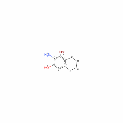 Br.Nc1cc2c(cc1O)CCCC2